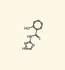 Oc1ccccc1C(=S)Nc1nc[nH]n1